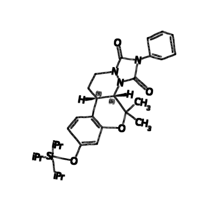 CC(C)[Si](Oc1ccc2c(c1)OC(C)(C)[C@@H]1[C@H]2CCn2c(=O)n(-c3ccccc3)c(=O)n21)(C(C)C)C(C)C